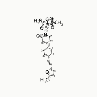 Cc1ccc(C#Cc2ccc(-c3ccn(CC[C@](C)(C(N)=O)S(C)(=O)=O)c(=O)c3)cc2)o1